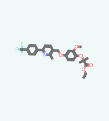 CCOC(=O)C(C)(C)Oc1ccc(OCc2ccc(-c3ccc(C(F)(F)F)cc3)nc2C)cc1OC